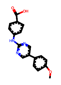 COc1ccc(-c2cnc(Nc3ccc(C(=O)O)cc3)nc2)cc1